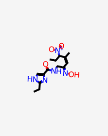 CCc1nc(C(=O)NCC(C=C(C)C(CC)[N+](=O)[O-])=NO)c[nH]1